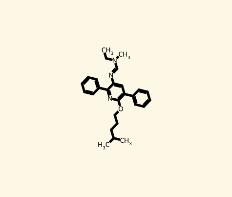 CCN(C)C=Nc1cc(-c2ccccc2)c(OCCCC(C)C)nc1-c1ccccc1